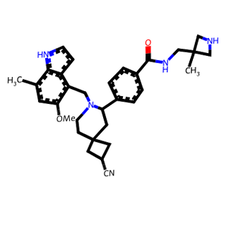 COc1cc(C)c2[nH]ccc2c1CN1CCC2(CC(C#N)C2)CC1c1ccc(C(=O)NCC2(C)CNC2)cc1